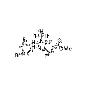 [2H]C([2H])([2H])n1c(Nc2ccc(Br)cc2F)nc2c(F)cc(C(=O)OC)cc21